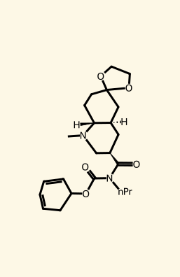 CCCN(C(=O)OC1C=CC=CC1)C(=O)[C@@H]1C[C@@H]2CC3(CC[C@H]2N(C)C1)OCCO3